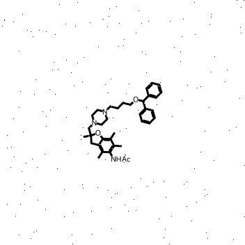 CC(=O)Nc1c(C)c(C)c2c(c1C)CC(C)(CN1CCN(CCCCOC(c3ccccc3)c3ccccc3)CC1)O2